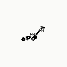 CS(=O)(=O)CCNCCCCNc1ccc2ncnc(Nc3ccc(S(=O)(=O)c4ccccc4)cc3)c2c1